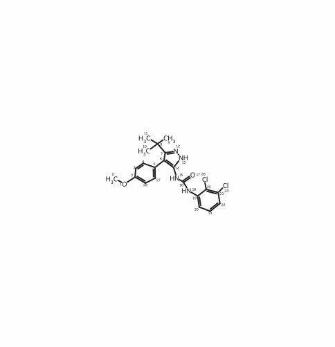 COc1ccc(-c2c(C(C)(C)C)n[nH]c2NC(=O)Nc2cccc(Cl)c2Cl)cc1